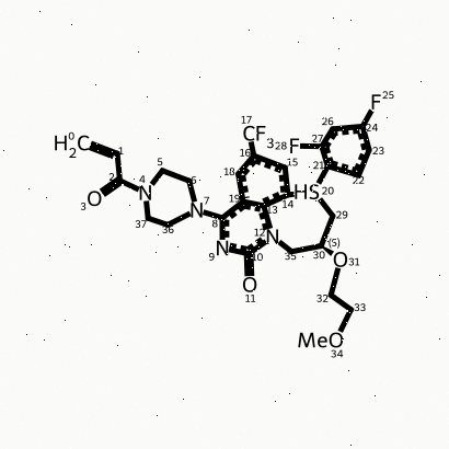 C=CC(=O)N1CCN(c2nc(=O)n3c4c(cc(C(F)(F)F)cc24)[SH](c2ccc(F)cc2F)C[C@@H](OCCOC)C3)CC1